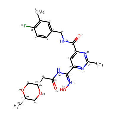 COc1cc(CNC(=O)c2cc(C(=NO)NC(=O)C[C@H]3CO[C@@H](C)CO3)nc(C)n2)ccc1F